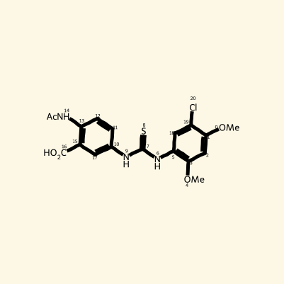 COc1cc(OC)c(NC(=S)Nc2ccc(NC(C)=O)c(C(=O)O)c2)cc1Cl